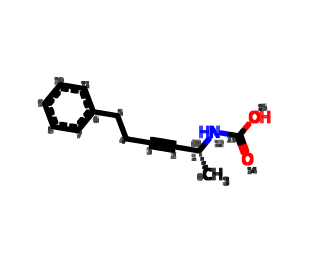 C[C@H](C#CCCc1ccccc1)NC(=O)O